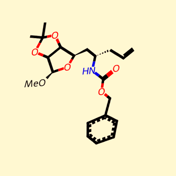 C=CC[C@@H](C[C@H]1O[C@@H](OC)C2OC(C)(C)OC21)NC(=O)OCc1ccccc1